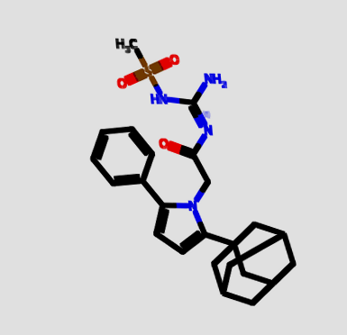 CS(=O)(=O)N/C(N)=N\C(=O)Cn1c(-c2ccccc2)ccc1C12CC3CC(CC(C3)C1)C2